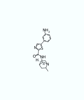 CC1CC2CCN1C[C@@H]2NC(=O)c1ncc(-c2cccc(N)c2)s1